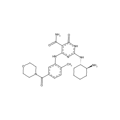 Cc1ccc(C(=O)N2CCOCC2)cc1Nc1nc(N[C@H]2CCCC[C@@H]2N)[nH]c(=O)c1C(N)=O